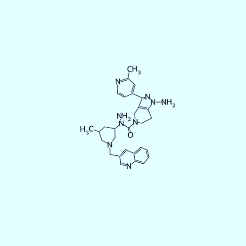 Cc1cc(-c2nn(N)c3c2CN(C(=O)N(N)C2CC(C)CN(Cc4cnc5ccccc5c4)C2)CC3)ccn1